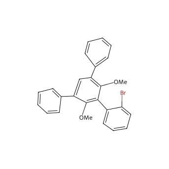 COc1c(-c2ccccc2)cc(-c2ccccc2)c(OC)c1-c1ccccc1Br